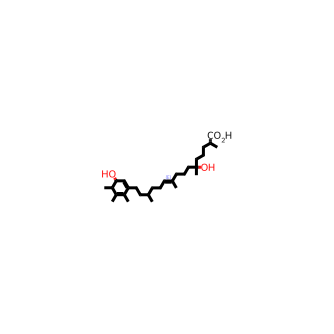 CC1=C(C)C(C)C(O)C=C1CCC(C)CC/C=C(\C)CCCC(C)(O)CCCC(C)C(=O)O